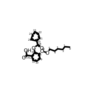 CCCCCCOOc1cccc(C(=O)O)c1OC(=O)c1ccccc1